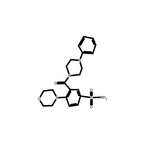 NS(=O)(=O)c1ccc(N2CCOCC2)c(C(=O)N2CCN(c3ccccc3)CC2)c1